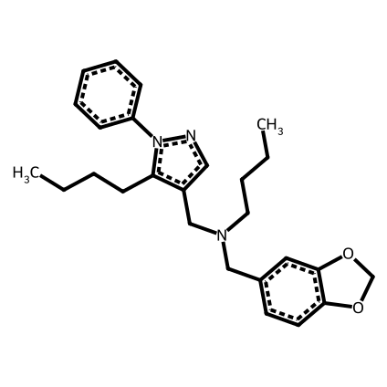 CCCCc1c(CN(CCCC)Cc2ccc3c(c2)OCO3)cnn1-c1ccccc1